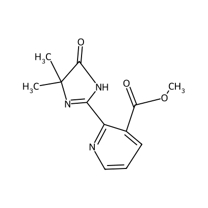 COC(=O)c1cccnc1C1=NC(C)(C)C(=O)N1